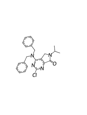 CC(C)N1Cc2c(nc(Cl)nc2N(Cc2ccccc2)Cc2ccccc2)C1=O